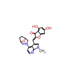 Cn1cc(C=C2Oc3cc(O)cc(O)c3C2=O)c2c(N3CC4CCC(C3)O4)ccnc21